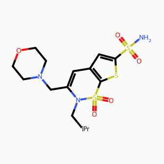 CC(C)CN1C(CN2CCOCC2)=Cc2cc(S(N)(=O)=O)sc2S1(=O)=O